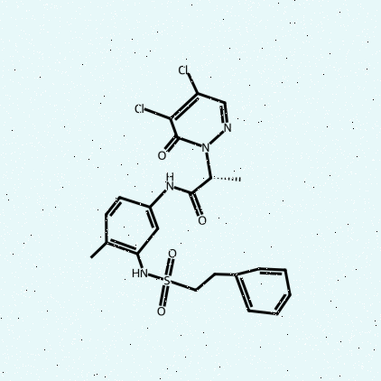 Cc1ccc(NC(=O)[C@@H](C)n2ncc(Cl)c(Cl)c2=O)cc1NS(=O)(=O)CCc1ccccc1